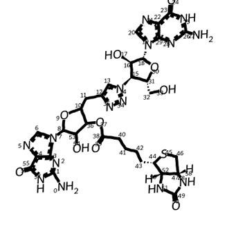 Nc1nc2c(ncn2C2OC(Cc3cn([C@H]4[C@@H](O)[C@H](n5cnc6c(=O)[nH]c(N)nc65)O[C@@H]4CO)nn3)C(OC(=O)CCCC[C@@H]3SC[C@@H]4NC(=O)N[C@@H]43)C2O)c(=O)[nH]1